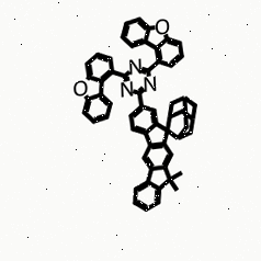 CC1(C)c2ccccc2-c2cc3c(cc21)C1(c2cc(-c4nc(-c5cccc6oc7ccccc7c56)nc(-c5cccc6oc7ccccc7c56)n4)ccc2-3)C2CC3CC(C2)CC1C3